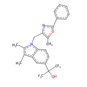 Cc1oc(-c2ccccc2)nc1Cn1c(C)c(C)c2cc(C(O)(C(F)(F)F)C(F)(F)F)ccc21